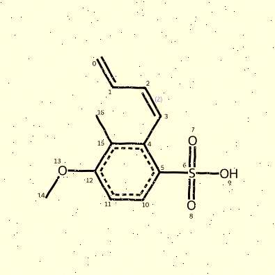 C=C/C=C\c1c(S(=O)(=O)O)ccc(OC)c1C